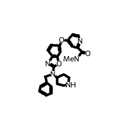 CNC(=O)c1cc(Oc2ccc3nc(N(Cc4ccccc4)C4CCNCC4)oc3c2)ccn1